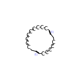 C1=C/CCCCCCCCCC/C=C/CCCCCC/1